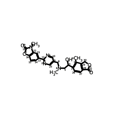 Cc1c(C(O)CN(C)Cc2cnc(-c3ccc4oc(=O)n(C)c4c3)nc2)ccc2c1COC2=O